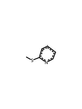 CSc1c[c]ccn1